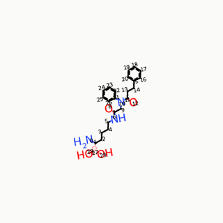 NC(CCCCNC(=O)CN(C(=O)CCc1ccccc1)c1ccccc1)B(O)O